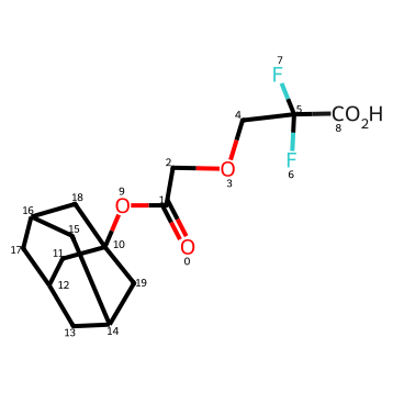 O=C(COCC(F)(F)C(=O)O)OC12CC3CC(CC(C3)C1)C2